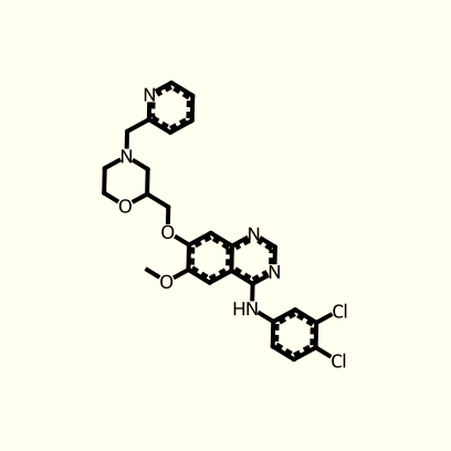 COc1cc2c(Nc3ccc(Cl)c(Cl)c3)ncnc2cc1OCC1CN(Cc2ccccn2)CCO1